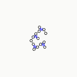 c1ccc(-c2cccc(-n3c4ccccc4c4cc(-c5ccc6c7ccc(-c8cccc(-c9ccc(-n%10c%11ccccc%11c%11ccc(-c%12ccc%13c%14ccccc%14n(-c%14ccccc%14)c%13c%12)cc%11%10)cc9)c8)cc7n(-c7ccccc7)c6c5)ccc43)c2)cc1